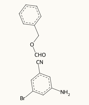 N#Cc1cc(N)cc(Br)c1.O=COCc1ccccc1